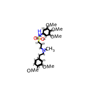 COc1ccc(CCN(C)CCCS(=O)(=O)Nc2cc(OC)c(OC)c(OC)c2)cc1OC